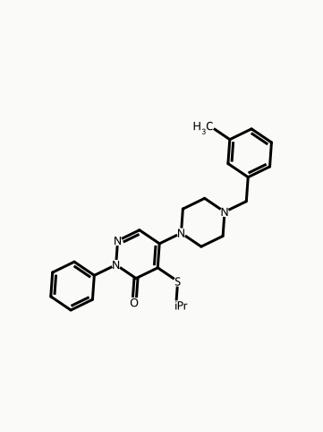 Cc1cccc(CN2CCN(c3cnn(-c4ccccc4)c(=O)c3SC(C)C)CC2)c1